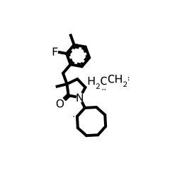 Cc1cccc(CC2(C)CCN(C3[CH]CCCCCC3)C2=O)c1F.[CH2].[CH2]